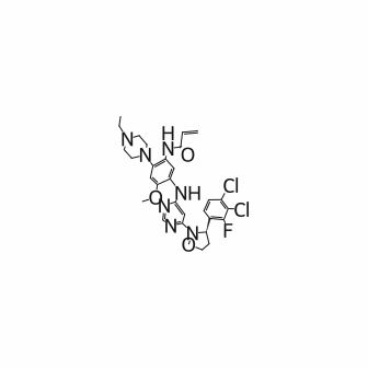 C=CC(=O)Nc1cc(Nc2cc(N3OCC[C@@H]3c3ccc(Cl)c(Cl)c3F)ncn2)c(OC)cc1N1CCN(CC)CC1